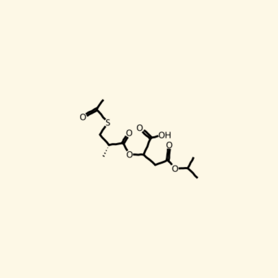 CC(=O)SC[C@@H](C)C(=O)OC(CC(=O)OC(C)C)C(=O)O